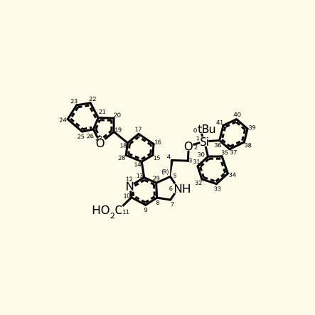 CC(C)(C)[Si](OCC[C@H]1NCc2cc(C(=O)O)nc(-c3cccc(-c4cc5ccccc5o4)c3)c21)(c1ccccc1)c1ccccc1